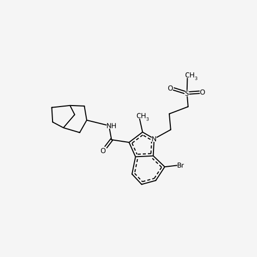 Cc1c(C(=O)NC2CC3CCC(C3)C2)c2cccc(Br)c2n1CCCS(C)(=O)=O